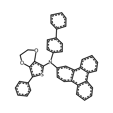 c1ccc(-c2ccc(N(c3ccc4c5ccccc5c5ccccc5c4c3)c3sc(-c4ccccc4)c4c3OCCO4)cc2)cc1